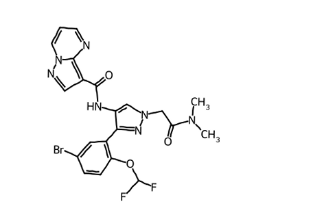 CN(C)C(=O)Cn1cc(NC(=O)c2cnn3cccnc23)c(-c2cc(Br)ccc2OC(F)F)n1